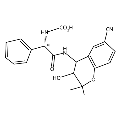 CC1(C)Oc2ccc(C#N)cc2C(NC(=O)[C@@H](NC(=O)O)c2ccccc2)C1O